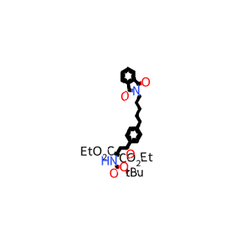 CCOC(=O)C(CC(=O)c1ccc(CCCCCN2C(=O)c3ccccc3C2=O)cc1)(NC(=O)OC(C)(C)C)C(=O)OCC